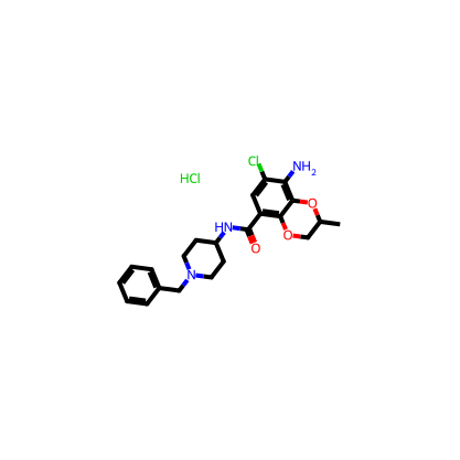 CC1COc2c(C(=O)NC3CCN(Cc4ccccc4)CC3)cc(Cl)c(N)c2O1.Cl